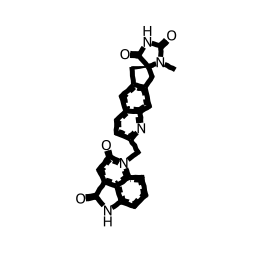 CN1C(=O)NC(=O)[C@]12Cc1cc3ccc(Cn4c(=O)cc5c6c(cccc64)NC5=O)nc3cc1C2